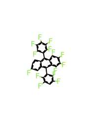 Fc1ccc2c(-c3c(F)c(F)c(F)c(F)c3F)c3c(F)c(F)c(F)c(F)c3c(-c3c(F)c(F)cc(F)c3F)c2c1